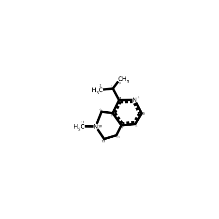 CC(C)c1nccc2c1CN(C)CC2